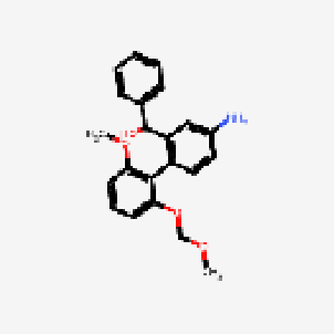 COCOc1cccc(OC)c1-c1ccc(N)cc1C(O)c1ccccc1